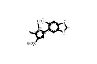 CCOC(=O)c1cc(-c2cc3c(cc2C(=O)O)OCO3)n(C)c1C